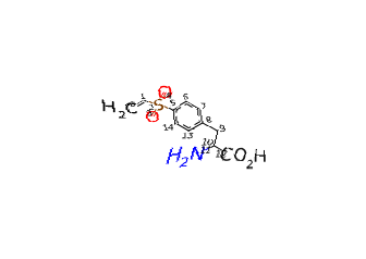 C=CS(=O)(=O)c1ccc(CC(N)C(=O)O)cc1